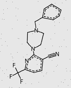 N#Cc1ccc(C(F)(F)F)nc1N1CCN(Cc2ccccc2)CC1